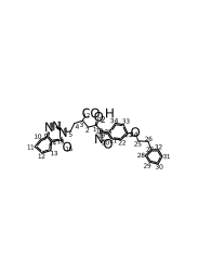 O=C(CC(CCn1nnc2ccccc2c1=O)C(=O)O)c1noc2cc(OCCc3ccccc3)ccc12